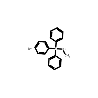 CP[P+](c1ccccc1)(c1ccccc1)c1ccccc1.[Br-]